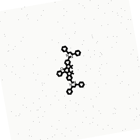 CC1(C)c2cc(-c3nc(-c4ccccc4)cc(-c4ccccc4)n3)ccc2-c2c1c1c(c3c2oc2ccccc23)-c2ccc(-c3nc(-c4ccccc4)cc(-c4ccccc4)n3)cc2C1(C)C